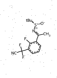 CC(=N[S@+]([O-])C(C)(C)C)c1cccc(C(F)(F)C#N)c1F